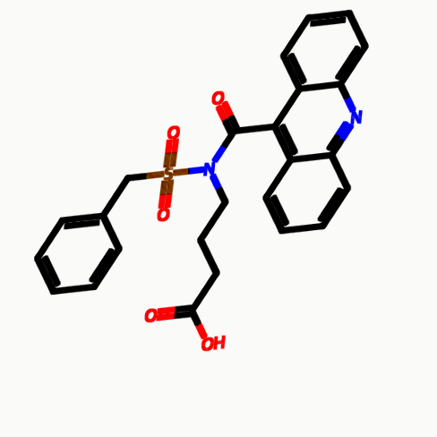 O=C(O)CCCN(C(=O)c1c2ccccc2nc2ccccc12)S(=O)(=O)Cc1ccccc1